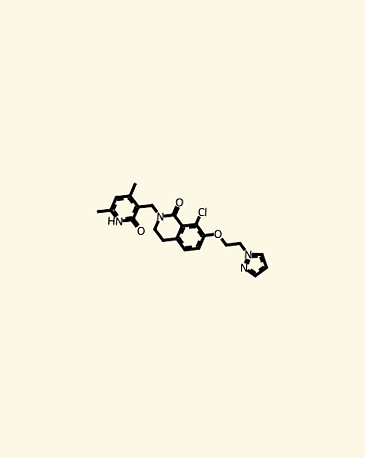 Cc1cc(C)c(CN2CCc3ccc(OCCn4cccn4)c(Cl)c3C2=O)c(=O)[nH]1